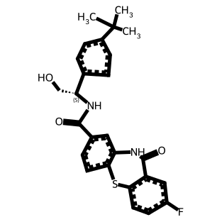 CC(C)(C)c1ccc([C@@H](CO)NC(=O)c2ccc3c(c2)NC(=O)c2cc(F)ccc2S3)cc1